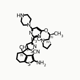 C[C@H](Oc1cc(N2CCNCC2)nc(C2=NSC([C@@]3(C)CCCc4sc(N)c(C#N)c43)C2)n1)[C@@H]1CCCN1C